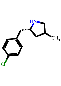 CC1CN[C@@H](Cc2ccc(Cl)cc2)C1